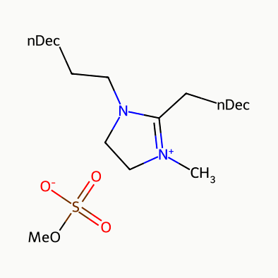 CCCCCCCCCCCCN1CC[N+](C)=C1CCCCCCCCCCC.COS(=O)(=O)[O-]